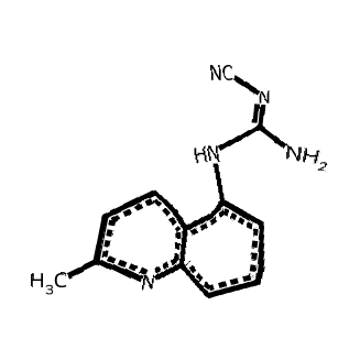 Cc1ccc2c(N/C(N)=N\C#N)cccc2n1